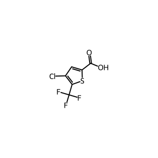 O=C(O)c1cc(Cl)c(C(F)(F)F)s1